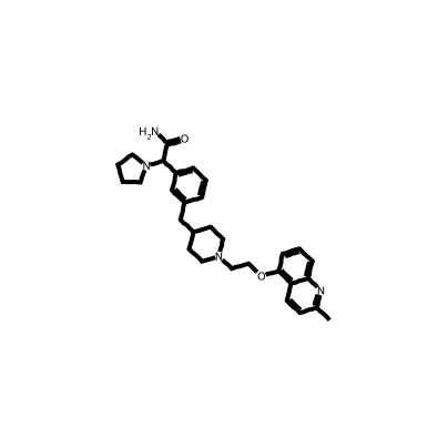 Cc1ccc2c(OCCN3CCC(Cc4cccc(C(C(N)=O)N5CCCC5)c4)CC3)cccc2n1